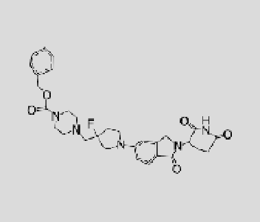 O=C1CCC(N2Cc3cc(N4CCC(F)(CN5CCN(C(=O)OCc6ccccc6)CC5)CC4)ccc3C2=O)C(=O)N1